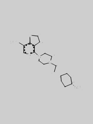 Cc1cnc(N2CCN(CC[C@H]3CC[C@H](N)CC3)CC2)c2c1OCC2